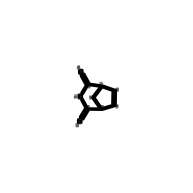 O=C1OC(=O)C2C=CC1C2